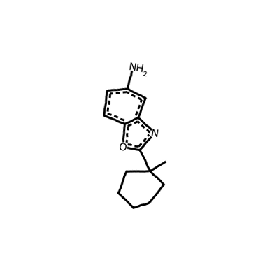 CC1(c2nc3cc(N)ccc3o2)CCCCC1